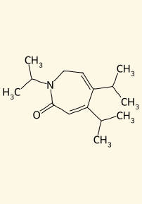 CC(C)C1=CCN(C(C)C)C(=O)C=C1C(C)C